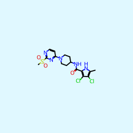 Cc1[nH]c(C(=O)NC2CCN(c3ccnc(S(C)(=O)=O)n3)CC2)c(Cl)c1Cl